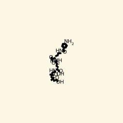 CC(C)(CC(=O)O)CC(C)(C)CC(=O)N[C@@H](CCCC(=O)N[C@@H](CCCCNC(=O)c1ccc(N)cc1)C(N)=O)C(=O)O